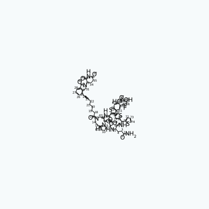 NC(=O)CCC(NC(=O)[C@@H]1CC[C@@H]2CCN(C(=O)CCCCCC#Cc3cccc4c3CN(C3CCC(=O)NC3=O)C4=O)C[C@H](NC(=O)c3cc4cc(C(F)(F)P(=O)(O)O)ccc4s3)C(=O)N21)C(=O)NC(c1cccs1)c1cccs1